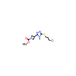 Cn1c(SCCCCl)nnc1C1CN(C(=O)OC(C)(C)C)C1